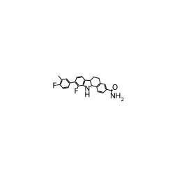 Cc1cc(-c2ccc3c(c2F)NC2c4ccc(C(N)=O)cc4CCC32)ccc1F